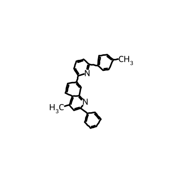 Cc1ccc(-c2cccc(-c3ccc4c(C)cc(-c5ccccc5)nc4c3)n2)cc1